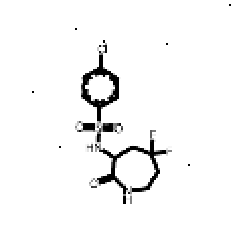 O=C1NCCC(F)(F)CC1NS(=O)(=O)c1ccc(Cl)cc1